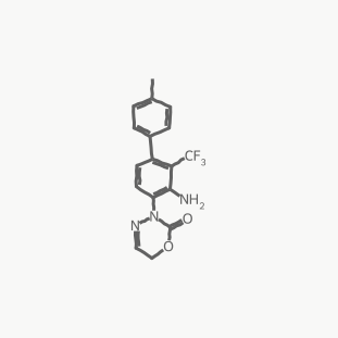 Cc1ccc(-c2ccc(N3N=CCOC3=O)c(N)c2C(F)(F)F)cc1